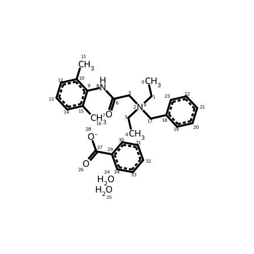 CC[N+](CC)(CC(=O)Nc1c(C)cccc1C)Cc1ccccc1.O.O.O=C([O-])c1ccccc1